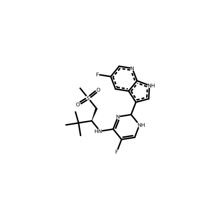 CC(C)(C)[C@@H](CS(C)(=O)=O)NC1=NC(c2c[nH]c3ncc(F)cc23)NC=C1F